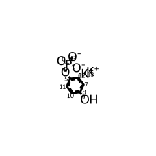 O=P([O-])([O-])Oc1ccc(O)cc1.[K+].[K+]